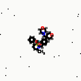 C[C@H]1CC[C@H](c2ccccc2)S(=O)(=O)N1Cc1ccc(C2(CN3CCOCC3)CCOCC2)cc1F